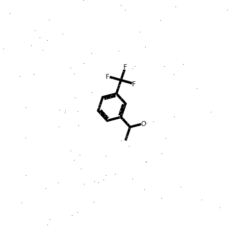 CC([O])c1cccc(C(F)(F)F)c1